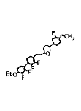 C=Cc1ccc(C2CCC(CCc3ccc(-c4ccc(OCC)c(F)c4F)c(F)c3F)OC2)cc1F